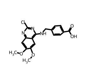 COc1cc2nc(Cl)nc(NCc3ccc(C(=O)O)cc3)c2cc1OC